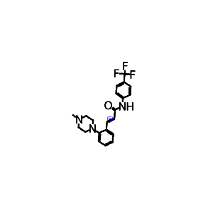 CN1CCN(c2ccccc2/C=C/C(=O)Nc2ccc(C(F)(F)F)cc2)CC1